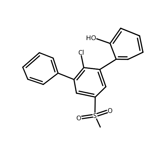 CS(=O)(=O)c1cc(-c2ccccc2)c(Cl)c(-c2ccccc2O)c1